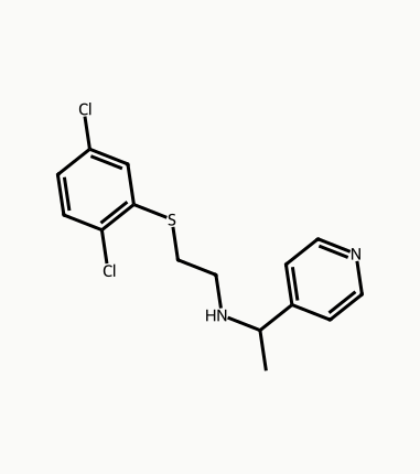 CC(NCCSc1cc(Cl)ccc1Cl)c1ccncc1